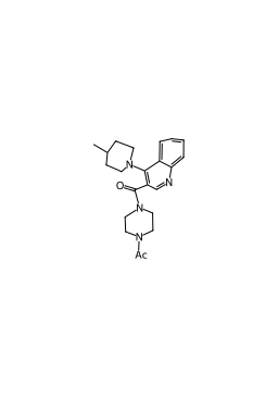 CC(=O)N1CCN(C(=O)c2cnc3ccccc3c2N2CCC(C)CC2)CC1